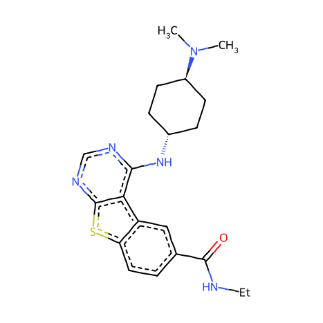 CCNC(=O)c1ccc2sc3ncnc(N[C@H]4CC[C@H](N(C)C)CC4)c3c2c1